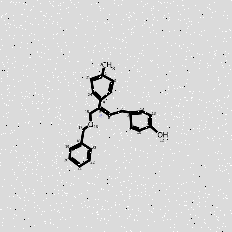 Cc1ccc(/C(=C\Cc2ccc(O)cc2)COCc2ccccc2)cc1